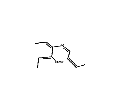 CC=C(/N=C\C=C/C)/C(=C/C)NC